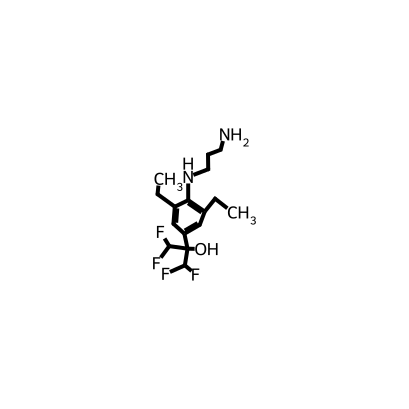 CCc1cc(C(O)(C(F)F)C(F)F)cc(CC)c1NCCCN